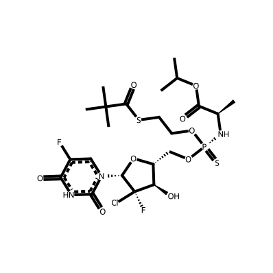 CC(C)OC(=O)[C@@H](C)N[P@@](=S)(OCCSC(=O)C(C)(C)C)OC[C@H]1O[C@@H](n2cc(F)c(=O)[nH]c2=O)[C@](F)(Cl)[C@@H]1O